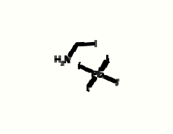 NCI.[I][Pb]([I])([I])[I]